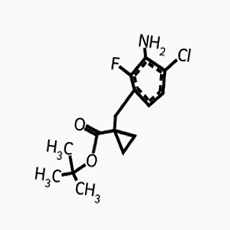 CC(C)(C)OC(=O)C1(Cc2ccc(Cl)c(N)c2F)CC1